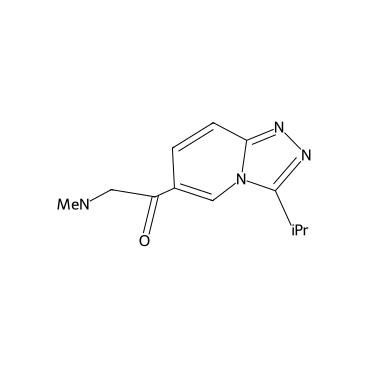 CNCC(=O)c1ccc2nnc(C(C)C)n2c1